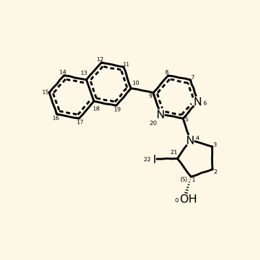 O[C@H]1CCN(c2nccc(-c3ccc4ccccc4c3)n2)C1I